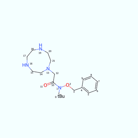 CC(C)(C)N(OCc1ccccc1)C(=O)CN1CCNCCNCC1